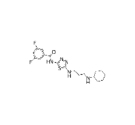 O=C(Nc1nnc(NCCCNC2CCCCC2)s1)c1cc(F)cc(F)c1